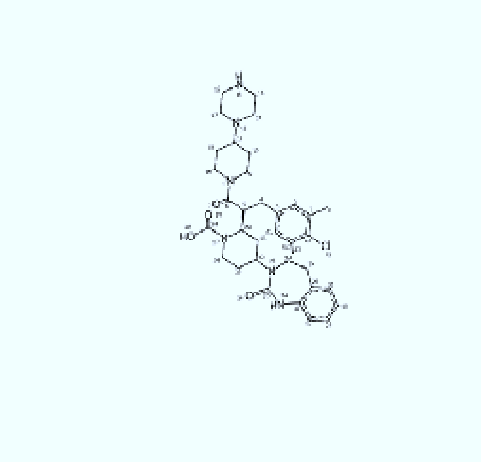 Cc1cc(CC(C(=O)N2CCC(N3CCNCC3)CC2)[C@H]2CC(N3CCc4ccccc4NC3=O)CCN2C(=O)O)cc(C)c1Cl